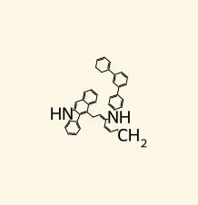 C=C/C=C\C(=C/Cc1c2ccccc2cc2[nH]c3ccccc3c12)Nc1ccc(-c2cccc(C3=CC=CCC3)c2)cc1